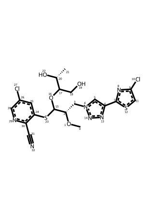 CO[C@@H](Cn1cc(-c2nc(Cl)cs2)nn1)C(OC(CO)[C@@H](C)O)Sc1cc(Cl)cnc1C#N